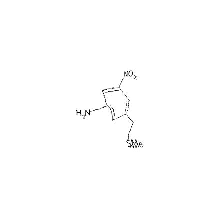 CSCc1cc(N)cc([N+](=O)[O-])c1